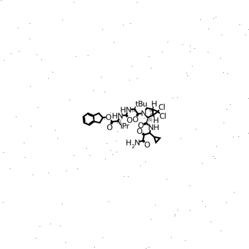 CC(C)[C@H](NC(=O)N[C@H](C(=O)N1C[C@H]2[C@@H]([C@H]1C(=O)NC(C(=O)C(N)=O)C1CC1)C2(Cl)Cl)C(C)(C)C)C(=O)OC1Cc2ccccc2C1